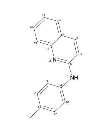 Cc1ccc(Nc2ccc3ccccc3n2)cc1